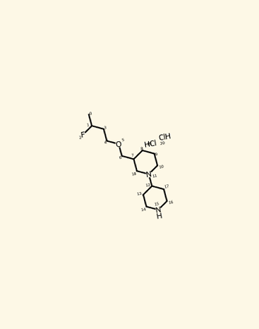 CC(F)CCOCC1CCCN(C2CCNCC2)C1.Cl.Cl